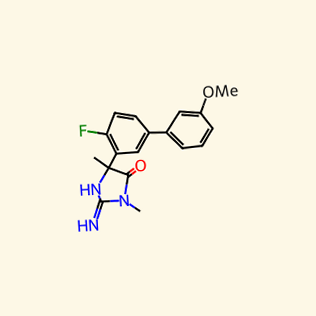 COc1cccc(-c2ccc(F)c(C3(C)NC(=N)N(C)C3=O)c2)c1